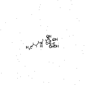 CCCCNC[C@H]1O[C@@](O)(CO)[C@@H](O)[C@@H]1O